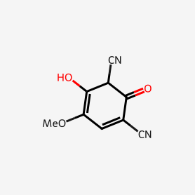 COC1=C(O)C(C#N)C(=O)C(C#N)=C1